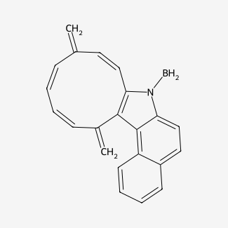 Bn1c2ccc(=C)ccccc(=C)c2c2c3ccccc3ccc21